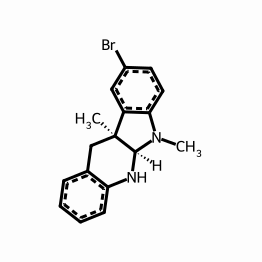 CN1c2ccc(Br)cc2[C@]2(C)Cc3ccccc3N[C@H]12